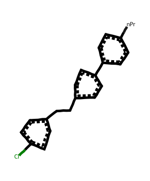 CCCc1ccc(-c2ccc(CCc3ccc(Cl)cc3)cc2)cc1